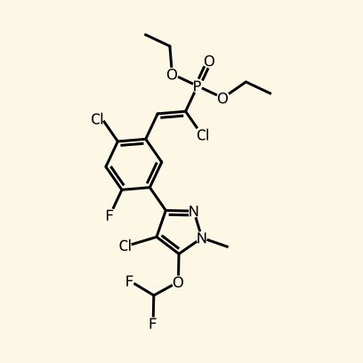 CCOP(=O)(OCC)C(Cl)=Cc1cc(-c2nn(C)c(OC(F)F)c2Cl)c(F)cc1Cl